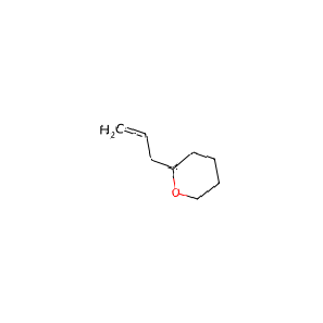 C=CC[C]1CCCCO1